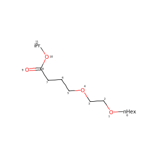 CCCCCCOCCOCCCC(=O)OC(C)C